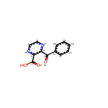 O=C(O)c1nccnc1C(=O)c1ccccc1